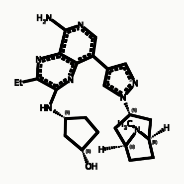 CCc1nc2c(N)ncc(-c3cnn([C@@H]4C[C@H]5CC[C@@H](C4)N5C)c3)c2nc1N[C@@H]1CC[C@H](O)C1